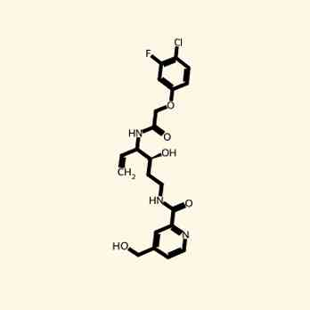 C=CC(NC(=O)COc1ccc(Cl)c(F)c1)[C@@H](O)CCNC(=O)c1cc(CO)ccn1